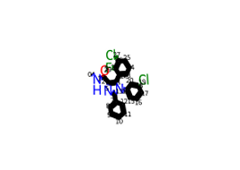 CNC(=O)c1nc(-c2ccccc2)n(-c2cccc(Cl)c2)c1-c1cccc(Cl)c1F